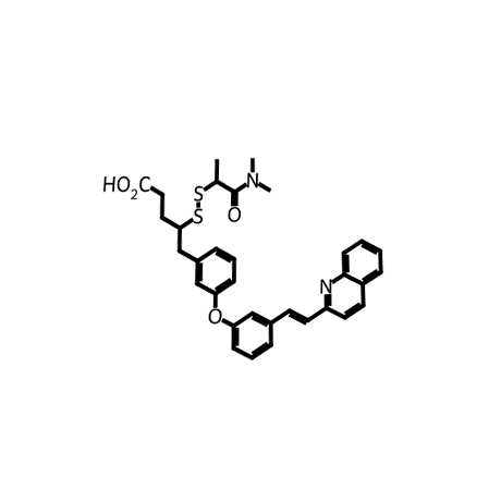 CC(SSC(CCC(=O)O)Cc1cccc(Oc2cccc(C=Cc3ccc4ccccc4n3)c2)c1)C(=O)N(C)C